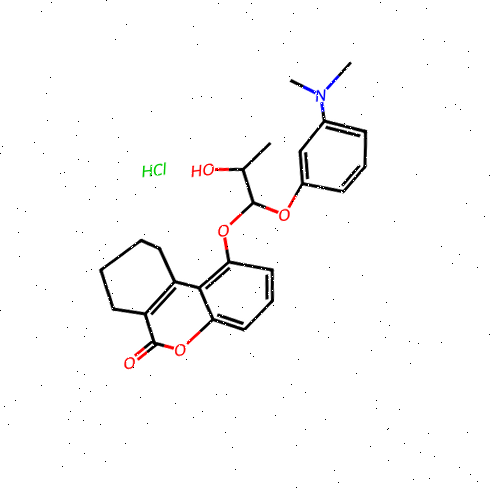 CC(O)C(Oc1cccc(N(C)C)c1)Oc1cccc2oc(=O)c3c(c12)CCCC3.Cl